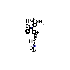 CC/C(=C(/c1ccc(OCCNC/C=C/C(=O)N(C)C)c(F)c1)c1ccc(N)c(C(=N)F)c1)c1ccccc1